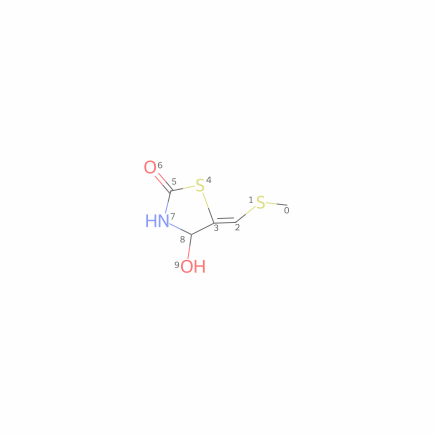 CS/C=C1\SC(=O)NC1O